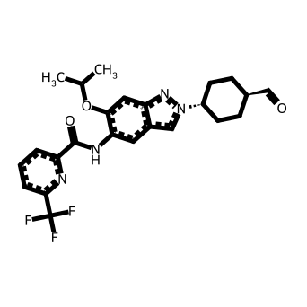 CC(C)Oc1cc2nn([C@H]3CC[C@H](C=O)CC3)cc2cc1NC(=O)c1cccc(C(F)(F)F)n1